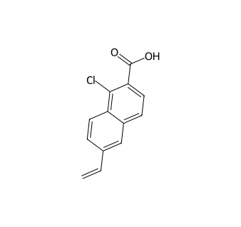 C=Cc1ccc2c(Cl)c(C(=O)O)ccc2c1